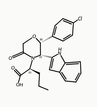 CCC[C@@H](C(=O)O)N1C(=O)CO[C@H](c2ccc(Cl)cc2)[C@@H]1c1cc2ccccc2[nH]1